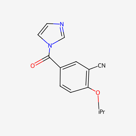 CC(C)Oc1ccc(C(=O)n2ccnc2)cc1C#N